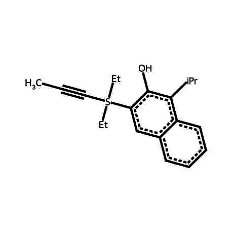 CC#CS(CC)(CC)c1cc2ccccc2c(C(C)C)c1O